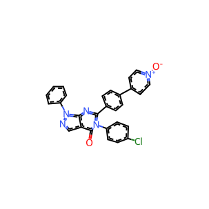 O=c1c2cnn(-c3ccccc3)c2nc(-c2ccc(-c3cc[n+]([O-])cc3)cc2)n1-c1ccc(Cl)cc1